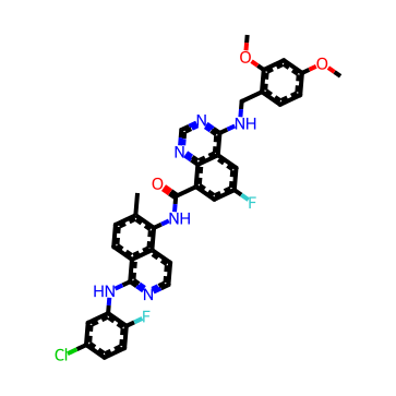 COc1ccc(CNc2ncnc3c(C(=O)Nc4c(C)ccc5c(Nc6cc(Cl)ccc6F)nccc45)cc(F)cc23)c(OC)c1